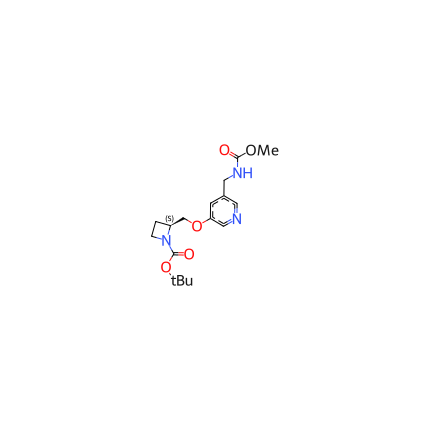 COC(=O)NCc1cncc(OC[C@@H]2CCN2C(=O)OC(C)(C)C)c1